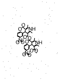 COC(=O)C1=C(C)NC(C)=C(C(=O)OC(=O)C2=C(C)NC(C)=C(C(=O)OC)C2c2cccc([N+](=O)[O-])c2)C1c1cccc([N+](=O)[O-])c1